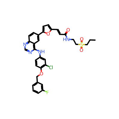 CCCS(=O)(=O)CCNC(=O)C=Cc1ccc(-c2ccc3ncnc(Nc4ccc(OCc5cccc(F)c5)c(Cl)c4)c3c2)o1